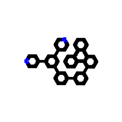 c1cc(-c2cc(-c3ccncc3)cc(-c3ccncc3)c2)cc(-c2cccc(-c3cccc4c5ccccc5c5ccccc5c34)c2)c1